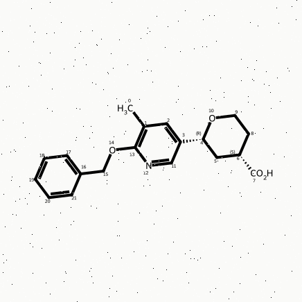 Cc1cc([C@H]2C[C@@H](C(=O)O)CCO2)cnc1OCc1ccccc1